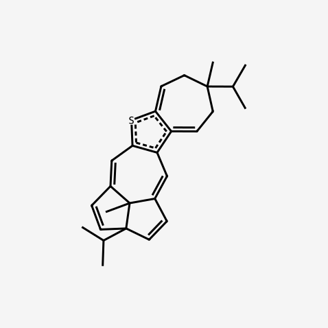 CC(C)C1(C)CC=c2sc3c(c2=CC1)C=C1C=CC2(C(C)C)C=CC(=C3)C12C